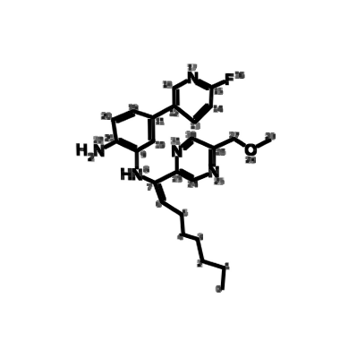 CCCCCCC=C(Nc1cc(-c2ccc(F)nc2)ccc1N)c1cnc(COC)cn1